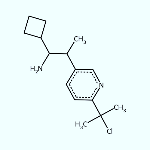 CC(c1ccc(C(C)(C)Cl)nc1)C(N)C1CCC1